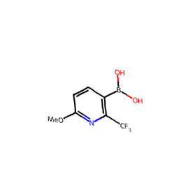 COc1ccc(B(O)O)c(C(F)(F)F)n1